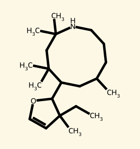 CCC1(C)C=COC1C1CC(C)CCCNC(C)(C)CC1(C)C